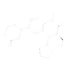 CC[C@@H]1C(=O)N(C)c2cnc(N3CCNC(=O)C3)nc2N1C1CCCC1